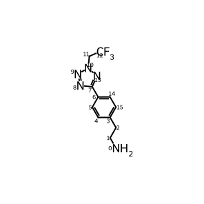 NCCc1ccc(-c2nnn(CC(F)(F)F)n2)cc1